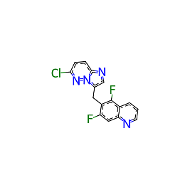 Fc1cc2ncccc2c(F)c1Cc1cnc2ccc(Cl)nn12